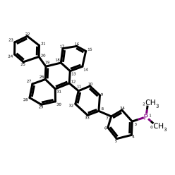 CP(C)c1cccc(-c2ccc(-c3c4ccccc4c(-c4ccccc4)c4ccccc34)cc2)c1